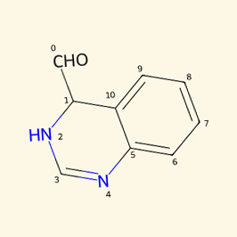 O=CC1NC=Nc2ccccc21